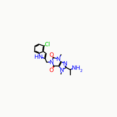 CC(N)c1nc2c(c(=O)n(Cc3cc4c(Cl)cccc4[nH]3)c(=O)n2C)n1C